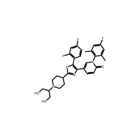 Cc1cc(F)cc(C)c1-n1cc(-c2nc(C3CCN(C(CO)CO)CC3)oc2-c2ccc(F)cc2F)ccc1=O